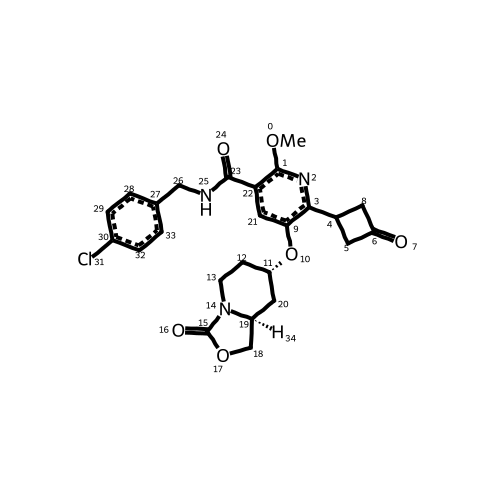 COc1nc(C2CC(=O)C2)c(O[C@H]2CCN3C(=O)OC[C@@H]3C2)cc1C(=O)NCc1ccc(Cl)cc1